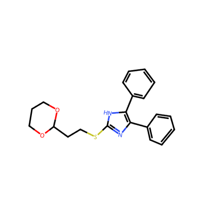 c1ccc(-c2nc(SCCC3OCCCO3)[nH]c2-c2ccccc2)cc1